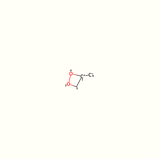 [CH2-][C+]1COO1